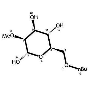 CCCCOC[C@H]1O[C@H](O)[C@@H](OC)[C@@H](O)[C@@H]1O